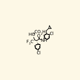 C[C@H]([C@H](C(=O)Nc1ccc(Cl)c(CC2CC2)c1)c1ccc(Cl)cc1)C(F)(F)F.O=C(O)O